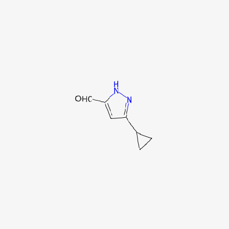 O=Cc1cc(C2CC2)n[nH]1